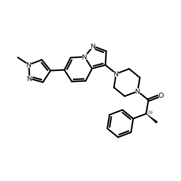 C[C@H](C(=O)N1CCN(c2cnn3cc(-c4cnn(C)c4)ccc23)CC1)c1ccccc1